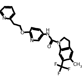 Cc1cc2c(cc1C(F)(F)F)N(C(=O)Nc1ccc(OCCc3ccccn3)nc1)CC2